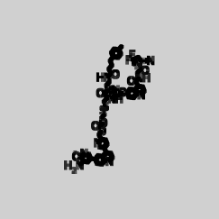 COc1ncc(-c2ccc3nccc(-c4ccc(COC(=O)OCCSSCC(NC(=O)COc5ccc6nccc(C(=O)NCC(=O)N7CC(F)(F)C[C@H]7C#N)c6c5)C(=O)NCCNC(=O)CCCc5ccc(C)cc5)nc4)c3c2)cc1N